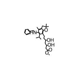 COC(=O)CC(O)CC(O)CCc1c2c(c(C)c(NCc3ccccc3)c1C(C)C)CC(C)(C)O2